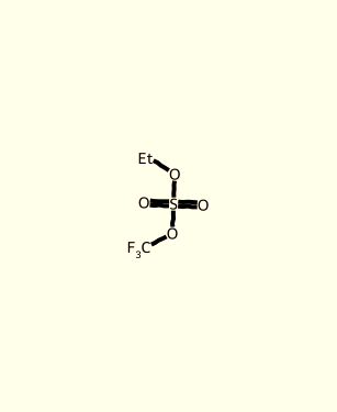 CCOS(=O)(=O)OC(F)(F)F